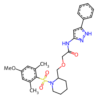 COc1cc(C)c(S(=O)(=O)N2CCCCC2COCC(=O)Nc2cc(-c3ccccc3)[nH]n2)c(C)c1